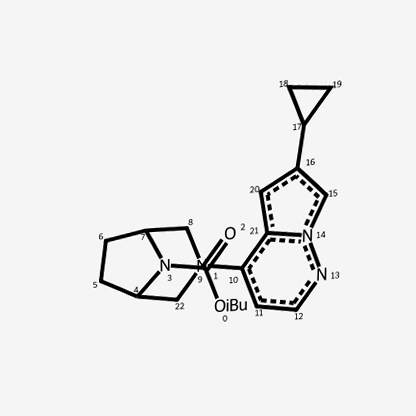 CC(C)COC(=O)N1C2CCC1CN(c1ccnn3cc(C4CC4)cc13)C2